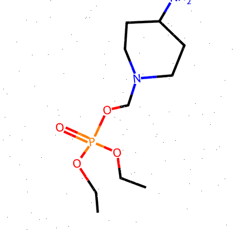 CCOP(=O)(OCC)OCN1CCC(N)CC1